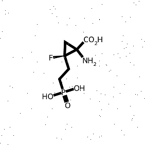 NC1(C(=O)O)C[C@@]1(F)CCP(=O)(O)O